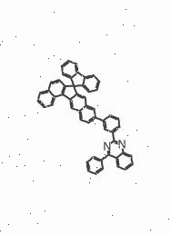 c1ccc(-c2nc(-c3cccc(-c4ccc5cc6c(cc5c4)C4(c5ccccc5-c5ccccc54)c4ccc5ccccc5c4-6)c3)nc3ccccc23)cc1